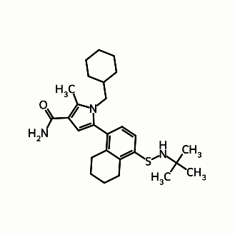 Cc1c(C(N)=O)cc(-c2ccc(SNC(C)(C)C)c3c2CCCC3)n1CC1CCCCC1